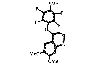 COc1cc2nccc(Oc3c(F)c(F)c(SC)c(F)c3F)c2cc1OC